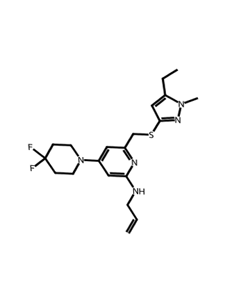 C=CCNc1cc(N2CCC(F)(F)CC2)cc(CSc2cc(CC)n(C)n2)n1